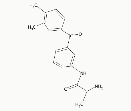 Cc1ccc([S+]([O-])c2cccc(NC(=O)C(C)N)c2)cc1C